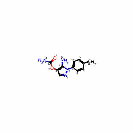 Cc1ccc(-n2ncc(OC(N)=O)c2N)cc1